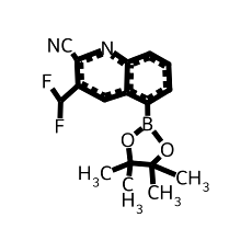 CC1(C)OB(c2cccc3nc(C#N)c(C(F)F)cc23)OC1(C)C